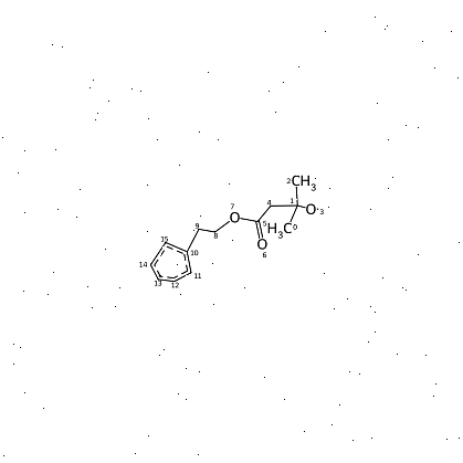 CC(C)([O])CC(=O)OCCc1ccccc1